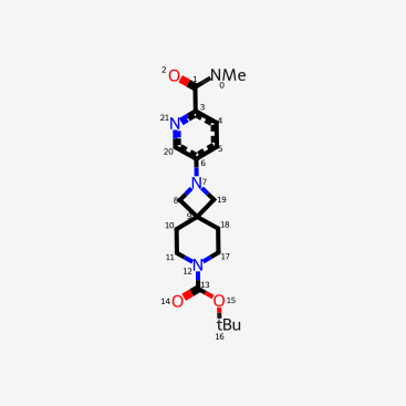 CNC(=O)c1ccc(N2CC3(CCN(C(=O)OC(C)(C)C)CC3)C2)cn1